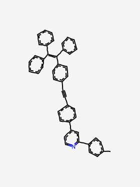 Cc1ccc(-c2cc(-c3ccc(C#Cc4ccc(C(=C(c5ccccc5)c5ccccc5)c5ccccc5)cc4)cc3)ccn2)cc1